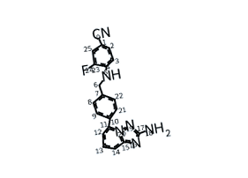 N#Cc1ccc(NCc2ccc(-c3cccc4nc(N)nn34)cc2)c(F)c1